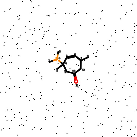 CC1C=CC(C)(P(C)C)CC(=O)C1